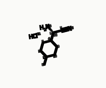 CC1CCC([C@H](N)C#N)CC1.Cl